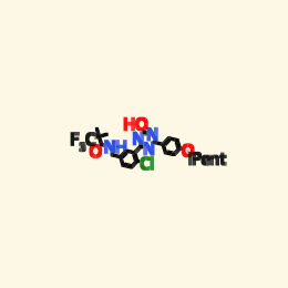 CCC[C@@H](C)Oc1ccc(-c2nc(O)nc(-c3cc(CNC(=O)C(C)(C)C(F)(F)F)ccc3Cl)n2)cc1